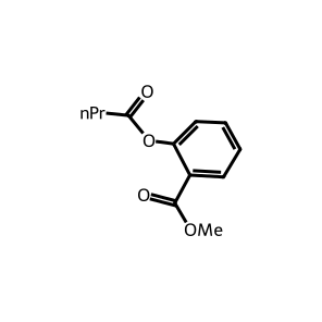 CCCC(=O)Oc1ccccc1C(=O)OC